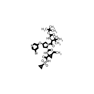 C=CC1CC1(NC(=O)[C@@H]1C[C@@H](Oc2cncc(Br)c2)CN1C(=O)[C@@H](NC(=O)OC(C)(C)C)C(C)(C)C)C(=O)NS(=O)(=O)C1CC1